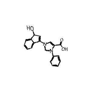 O=C(O)C1=CN(C2=CC(O)c3ccccc32)CN1c1ccccc1